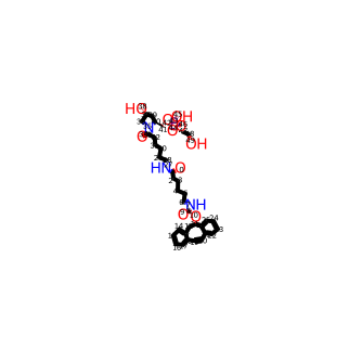 O=C(CCCCCNC(=O)OC1Cc2ccccc2C#Cc2ccccc21)NCCCCCC(=O)N1C[C@H](O)C[C@H]1COP(=O)(O)OCCO